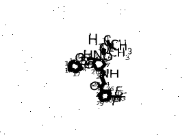 CC(C)(C)OC(=O)NC1(CS(=O)(=O)c2ccccc2)CCC(NCCC(=O)c2cccc(C(F)(F)F)c2)CC1